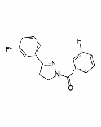 O=C(c1cccc(F)c1)N1CCC(c2cccc(F)c2)=N1